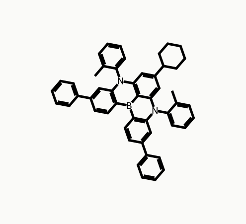 Cc1ccccc1N1c2cc(-c3ccccc3)ccc2B2c3ccc(-c4ccccc4)cc3N(c3ccccc3C)c3cc(C4CCCCC4)cc1c32